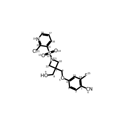 N#Cc1ccc(OCC2(CO)CN(S(=O)(=O)c3cccnc3Cl)C2)cc1F